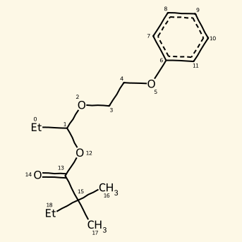 CCC(OCCOc1ccccc1)OC(=O)C(C)(C)CC